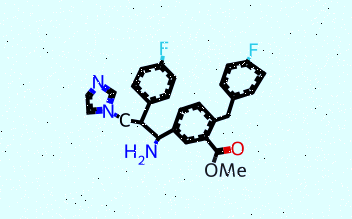 COC(=O)c1cc(C(N)C(Cn2ccnc2)c2ccc(F)cc2)ccc1Cc1ccc(F)cc1